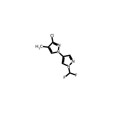 Cc1cn(-c2cnn(C(F)F)c2)nc1Cl